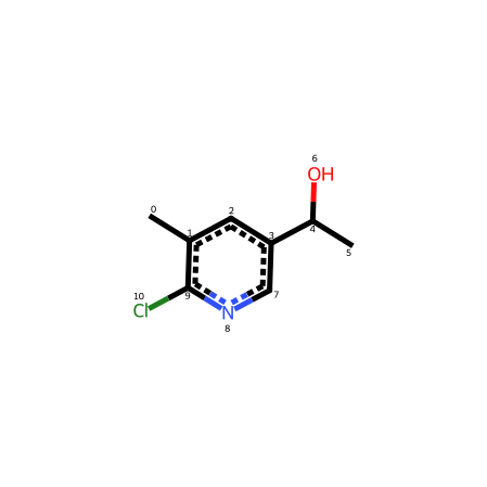 Cc1cc(C(C)O)cnc1Cl